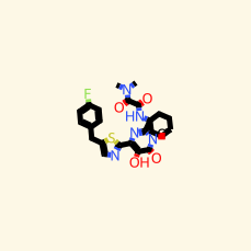 CN(C)C(=O)C(=O)NC12CCC(CC1)Cn1c2nc(-c2ncc(Cc3ccc(F)cc3)s2)c(O)c1=O